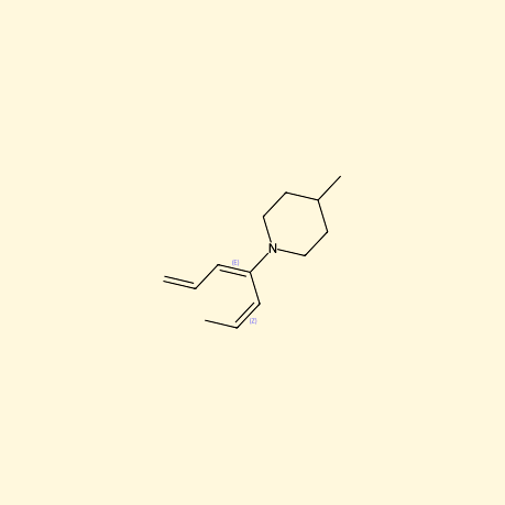 C=C/C=C(\C=C/C)N1CCC(C)CC1